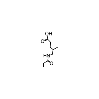 CCC(=O)NCC(C)CCC(=O)O